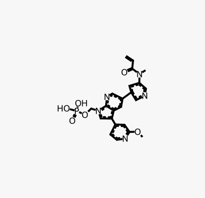 C=CC(=O)N(C)c1cncc(-c2cnc3c(c2)c(-c2ccnc(OC)c2)cn3COP(=O)(O)O)c1